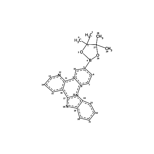 CC1(C)OB(c2ccc3c(c2)c2ncccc2c2nc4ccccc4n32)OC1(C)C